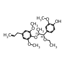 C=CCc1cc(OC)c(O[C@@H](C)[C@H](OCC)c2ccc(O)c(OC)c2)c(OC)c1